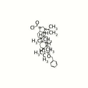 C=C(C)[C@@H]1C[C@@H](C(=O)Cl)C2CC[C@]3(C)[C@H](CC[C@@H]4[C@@]5(C)CC[C@H](OCc6ccccc6)C(C)(C)[C@@H]5CC[C@]43C)[C@H]21